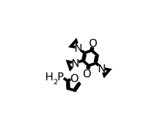 O=C1C=C(N2CC2)C(=O)C(N2CC2)=C1N1CC1.Pc1ccco1